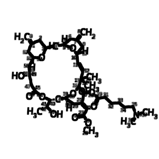 C=C1C[C@@H]2C[C@@H]3CC(=C)C[C@H](/C=C/C(C)(C)[C@]4(O)O[C@@H](C/C(=C\C(=O)OC)[C@@H]4OC(=O)CCCCCN(C)C)C[C@H]([C@@H](C)O)OC(=O)C[C@H](O)C[C@H](C1)O2)O3